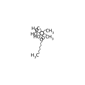 CCCCCCCCOOc1c(O)c(C(=O)O)c(CC)c(CC)c1CC